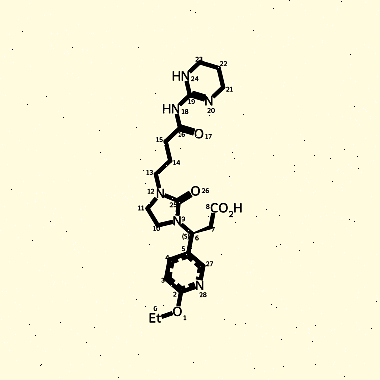 CCOc1ccc([C@H](CC(=O)O)N2CCN(CCCC(=O)NC3=NCCCN3)C2=O)cn1